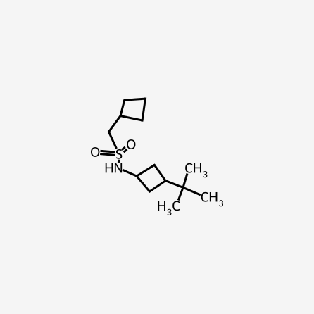 CC(C)(C)C1CC(NS(=O)(=O)CC2CCC2)C1